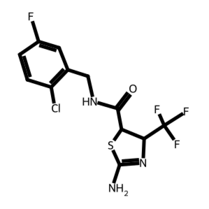 NC1=NC(C(F)(F)F)C(C(=O)NCc2cc(F)ccc2Cl)S1